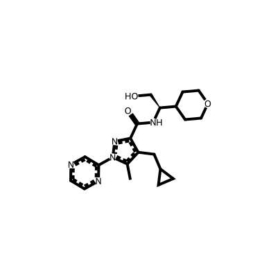 Cc1c(CC2CC2)c(C(=O)N[C@@H](CO)C2CCOCC2)nn1-c1cnccn1